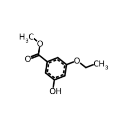 CCOc1cc(O)cc(C(=O)OC)c1